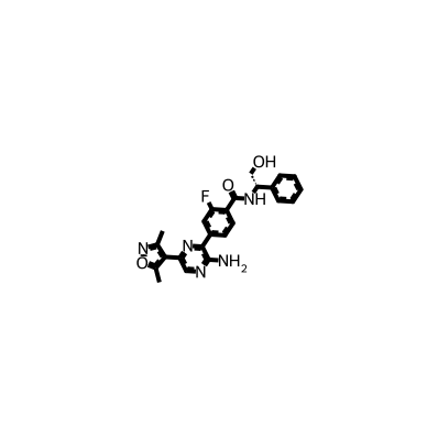 Cc1noc(C)c1-c1cnc(N)c(-c2ccc(C(=O)N[C@H](CO)c3ccccc3)c(F)c2)n1